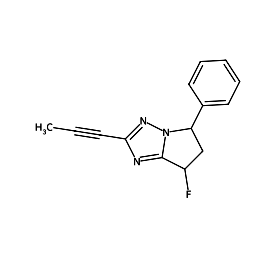 CC#Cc1nc2n(n1)C(c1ccccc1)CC2F